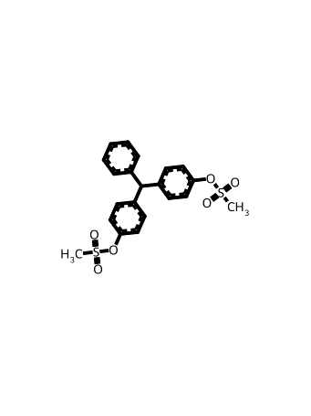 CS(=O)(=O)Oc1ccc(C(c2ccccc2)c2ccc(OS(C)(=O)=O)cc2)cc1